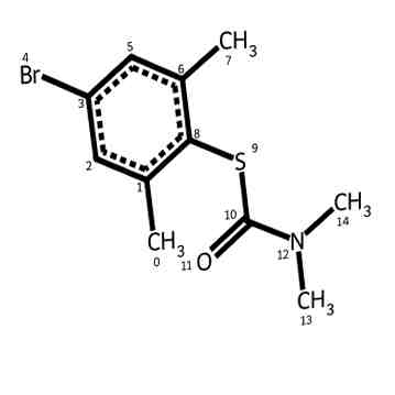 Cc1cc(Br)cc(C)c1SC(=O)N(C)C